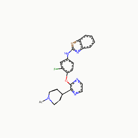 CC(=O)N1CCC(c2nccnc2Oc2ccc(Nc3nc4ccccc4s3)cc2F)CC1